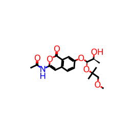 COCC(C)(C)O[C@@H](Oc1ccc2cc(NC(C)=O)oc(=O)c2c1)[C@H](C)O